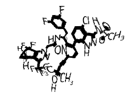 CC(C)(O)C#Cc1ccc(-c2ccc(Cl)c3c(NS(C)(=O)=O)n[nH]c23)c([C@H](Cc2cc(F)cc(F)c2)NC(=O)Cn2nc(C(F)(F)F)c3c2C(F)(F)[C@@H]2C[C@H]32)n1